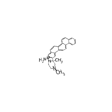 CN1CCN(C(N)=O)C(C)(c2ccc3ccc4c(ccc5c6ccccc6ccc54)c3c2)C1